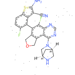 N#Cc1c(N)sc2ccc(F)c(-c3c4c(c5c(N6C[C@H]7C[C@@H]6CN7)ncnc5c3F)COC4)c12